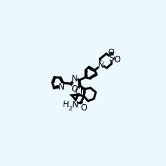 N#CC1(C2(C(N)=O)CCCCC2c2oc(-c3ccccn3)nc2-c2ccc(N3CCS(=O)(=O)CC3)cc2)CC1